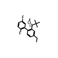 CCc1ccc(-c2cc(F)ccc2F)c([C@@H](OC)C(C)(C)C)c1